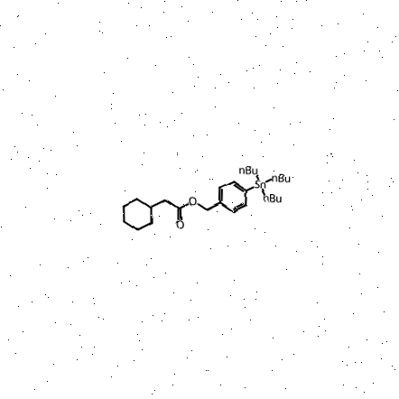 CCC[CH2][Sn]([CH2]CCC)([CH2]CCC)[c]1ccc(COC(=O)CC2CCCCC2)cc1